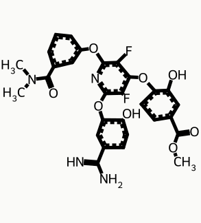 COC(=O)c1ccc(Oc2c(F)c(Oc3cccc(C(=O)N(C)C)c3)nc(Oc3cc(C(=N)N)ccc3O)c2F)c(O)c1